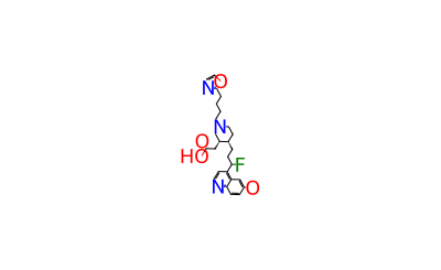 COc1ccc2nccc([C@H](F)CC[C@@H]3CCN(CCCCc4ncco4)C[C@@H]3CC(=O)O)c2c1